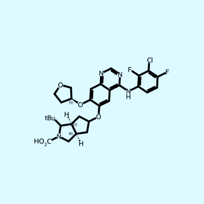 CC(C)(C)C1[C@H]2CC(Oc3cc4c(Nc5ccc(F)c(Cl)c5F)ncnc4cc3O[C@H]3CCOC3)C[C@H]2CN1C(=O)O